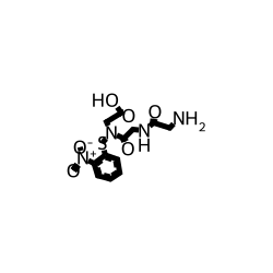 NCC(=O)NCC(=O)N(CC(=O)O)Sc1ccccc1[N+](=O)[O-]